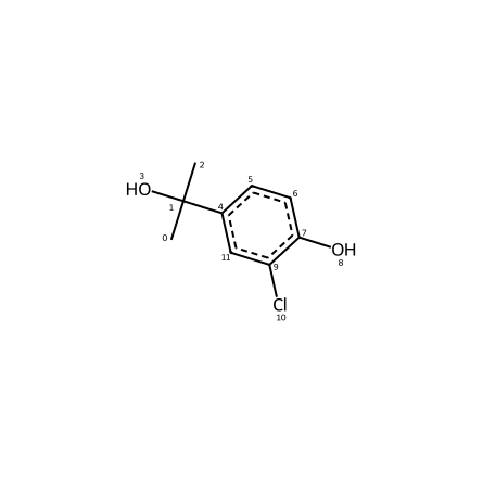 CC(C)(O)c1ccc(O)c(Cl)c1